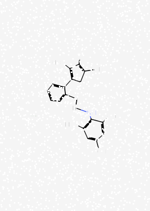 CC1=C(C)C(C)=C(c2ccccc2[CH2][Ti][NH]c2c(C)cc(C)cc2C)C1.Cl.Cl